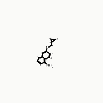 Nc1cccc2cc(OCC3CC3)ccc12